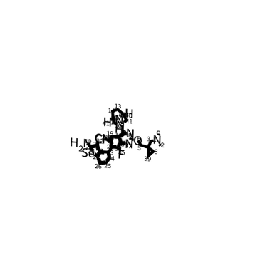 CN(C)CC1(COc2nc(N3C[C@H]4CC[C@@H](C3)N4)c3cc(Cl)c(-c4cccc5[se]c(N)c(C#N)c45)c(F)c3n2)CC1